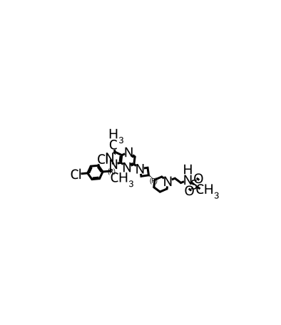 Cc1nn([C@H](C)c2ccc(Cl)cc2Cl)c2nc(N3CC([C@H]4CCCN(CCNS(C)(=O)=O)C4)C3)cnc12